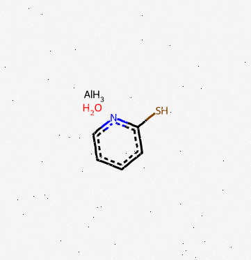 O.Sc1ccccn1.[AlH3]